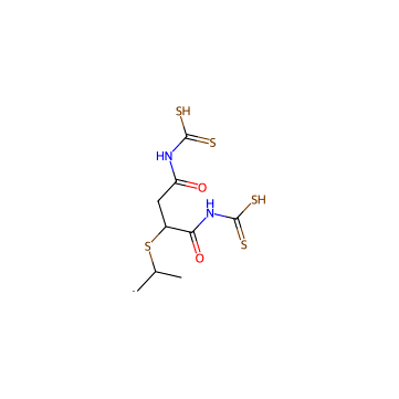 [CH2]C(C)SC(CC(=O)NC(=S)S)C(=O)NC(=S)S